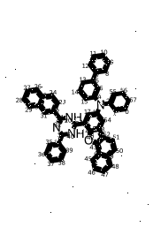 C1=CC(N(C2=CC(c3ccccc3)CC=C2)c2cc(C3NC(c4ccc5ccccc5c4)=NC(c4ccccc4)N3)c3oc4c5ccccc5ccc4c3c2)=CCC1